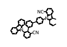 C/C=C\c1c(C)c2cccc(C#N)c2n1-c1ccc(-c2cccc(-c3c(C#N)cccc3-n3c4ccccc4c4ccccc43)c2)cc1